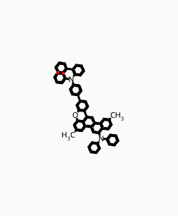 Cc1ccc2c(N(c3ccccc3)c3ccccc3)cc3c4cc(C)cc5c4c(cc3c2c1)-c1ccc(-c2ccc(N(c3ccccc3)c3ccccc3-c3ccccc3)cc2)cc1O5